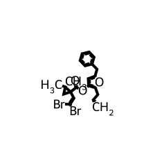 C=CCc1oc(Cc2ccccc2)cc1OC(=O)C1(C=C(Br)Br)CC1(C)C